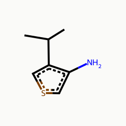 CC(C)c1cscc1N